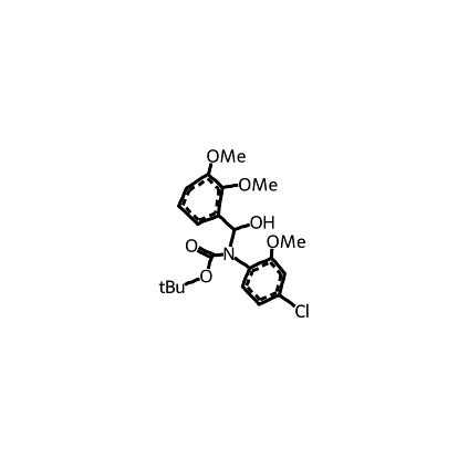 COc1cc(Cl)ccc1N(C(=O)OC(C)(C)C)C(O)c1cccc(OC)c1OC